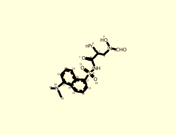 CCCC(CN(O)C=O)C(=O)NS(=O)(=O)c1cccc2c(N(C)C)cccc12